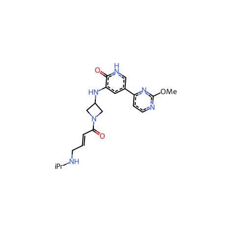 COc1nccc(-c2c[nH]c(=O)c(NC3CN(C(=O)/C=C/CNC(C)C)C3)c2)n1